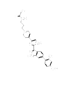 CCc1cc(O)ccc1-c1ccc2c(-c3nc(C4=CCN(CCCNC(=O)C(C)C)CC4)c[nH]3)n[nH]c2c1